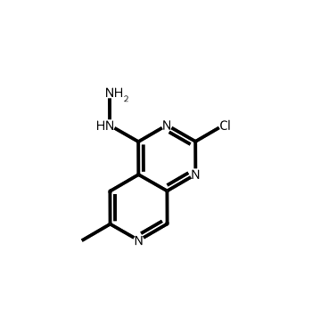 Cc1cc2c(NN)nc(Cl)nc2cn1